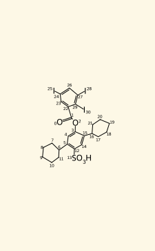 O=C(Oc1cc(C2CCCCC2)c(S(=O)(=O)O)cc1C1CCCCC1)c1cc(I)cc(I)c1I